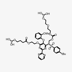 COc1ccccc1Oc1c(OCCOC(=O)CCCON(O)O)nc(-c2ncccn2)nc1N(COC(=O)OCCOCCON(O)O)S(=O)(=O)c1ccc(C(C)(C)C)cc1